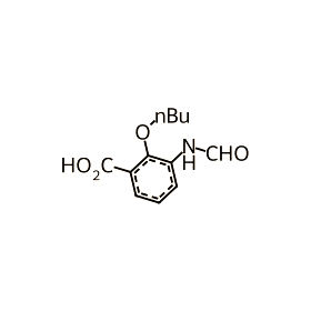 CCCCOc1c(NC=O)cccc1C(=O)O